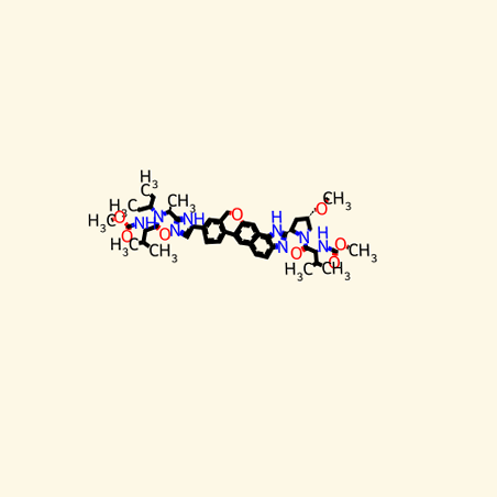 CCC(CC)N(C(=O)[C@@H](NC(=O)OC)C(C)C)[C@@H](C)c1ncc(-c2ccc3c(c2)COc2cc4c(ccc5nc([C@@H]6C[C@H](COC)CN6C(=O)[C@@H](NC(=O)OC)C(C)C)[nH]c54)cc2-3)[nH]1